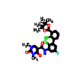 Cn1cc(C(=O)Nc2cc(F)cc(-c3cccc(B4OC(C)(C)C(C)(C)O4)c3Cl)c2Cl)c(=O)n(C)c1=O